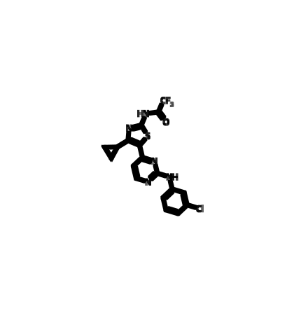 O=C(Nc1nc(C2CC2)c(-c2ccnc(Nc3cccc(Cl)c3)n2)s1)C(F)(F)F